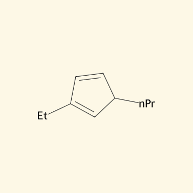 CCCC1C=CC(CC)=C1